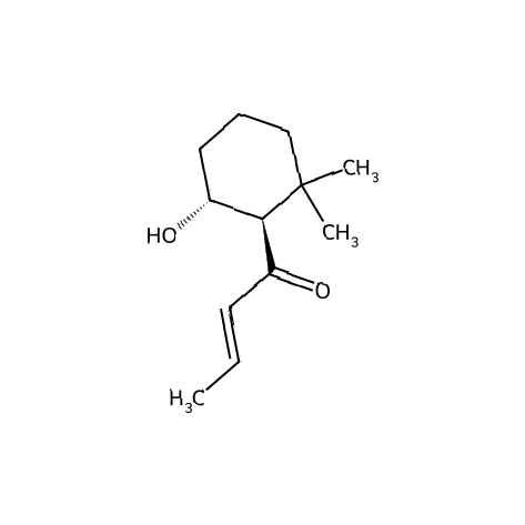 C/C=C/C(=O)[C@H]1[C@H](O)CCCC1(C)C